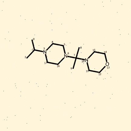 CC(C)N1CCN(C(C)(C)N2CCOCC2)CC1